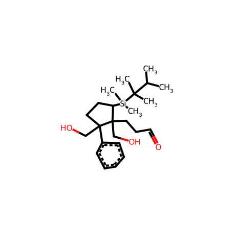 CC(C)C(C)(C)[Si](C)(C)C1CCC(CO)(c2ccccc2)C1(CO)CCC=O